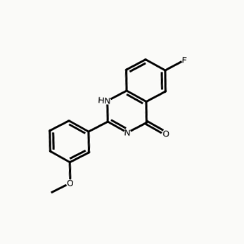 COc1cccc(-c2nc(=O)c3cc(F)ccc3[nH]2)c1